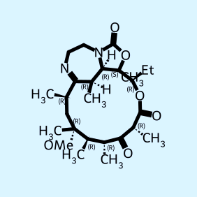 CC[C@H]1OC(=O)[C@H](C)C(=O)[C@H](C)[C@@H](C)[C@](C)(OC)C[C@@H](C)C2=NCCN3C(=O)O[C@@]1(C)[C@H]3[C@H]2C